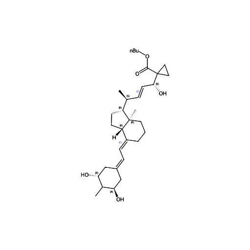 CCCCOC(=O)C1([C@H](O)/C=C/[C@H](C)[C@H]2CC[C@H]3/C(=C/C=C4C[C@@H](O)C(C)[C@H](O)C4)CCC[C@]23C)CC1